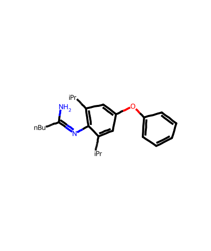 CCCCC(N)=Nc1c(C(C)C)cc(Oc2ccccc2)cc1C(C)C